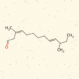 CCC(C)C=CCCCCC=C(C)C[C]=O